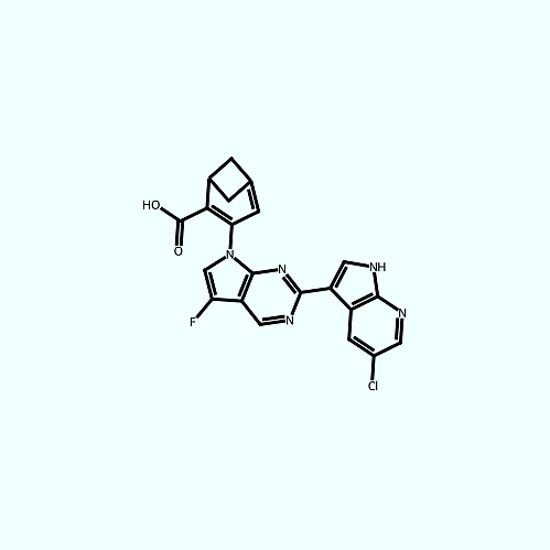 O=C(O)C1=C(n2cc(F)c3cnc(-c4c[nH]c5ncc(Cl)cc45)nc32)C=C2CC1C2